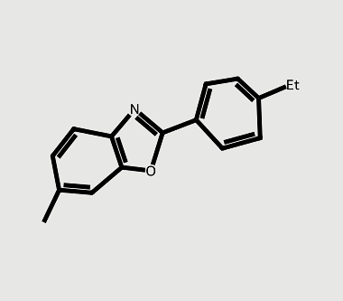 CCc1ccc(-c2nc3ccc(C)cc3o2)cc1